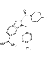 N=C(N)c1ccc2cc(C(=O)N3CCC(F)CC3)n(Cc3ccc(C(F)(F)F)cc3)c2c1